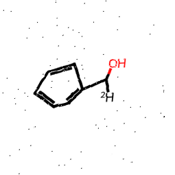 [2H]C(O)c1ccccc1